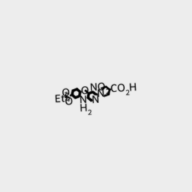 CCS(=O)(=O)c1ccc(Oc2ccnc(N3CCC(C(=O)O)CC3)c2[N+](=O)[O-])c(N)c1